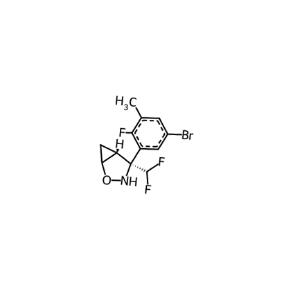 Cc1cc(Br)cc([C@@]2(C(F)F)NOC3C[C@@H]32)c1F